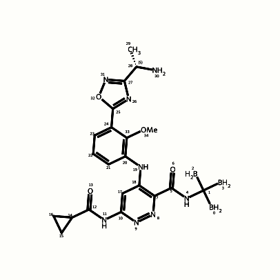 BC(B)(B)NC(=O)c1nnc(NC(=O)C2CC2)cc1Nc1cccc(-c2nc([C@H](C)N)no2)c1OC